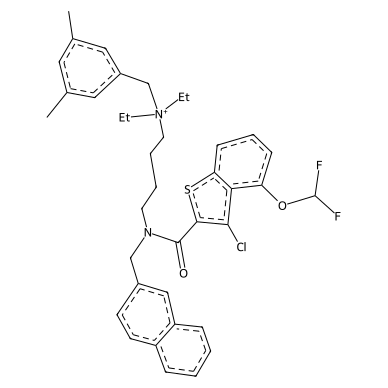 CC[N+](CC)(CCCCN(Cc1ccc2ccccc2c1)C(=O)c1sc2cccc(OC(F)F)c2c1Cl)Cc1cc(C)cc(C)c1